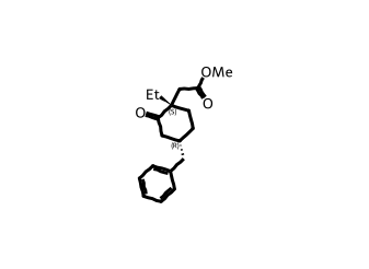 CC[C@@]1(CC(=O)OC)CC[C@H](Cc2ccccc2)CC1=O